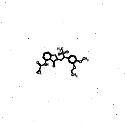 CCOc1cc(C(CN2Cc3cccc(NC(=O)C4CC4)c3C2=O)S(C)(=O)=O)ccc1OC